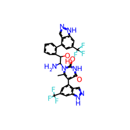 Cc1c(-c2cc(C(F)(F)F)cc3[nH]ncc23)c(=O)[nH]c(=O)n1C(N)C(O)c1ccccc1-c1cc(C(F)(F)F)cc2[nH]ncc12